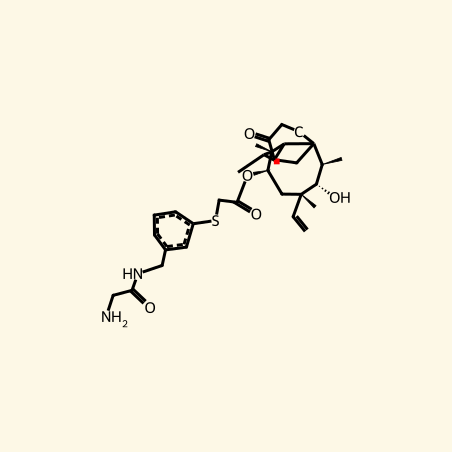 C=C[C@]1(C)C[C@@H](OC(=O)CSc2cccc(CNC(=O)CN)c2)[C@]2(C)C(C)CC34CC(CCC3=O)(C42)[C@@H](C)[C@@H]1O